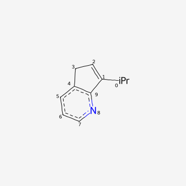 CC(C)C1=CCc2cccnc21